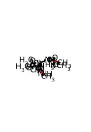 CNc1ncc2cc(-c3c(Cl)c(OC)cc(OC)c3Cl)c3nc(CCCN4CCN(C(=O)C(C#N)=CC(C)(C)C)CC4)nn3c2n1